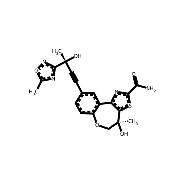 Cc1nc([C@](C)(O)C#Cc2ccc3c(c2)-c2nc(C(N)=O)sc2[C@@](C)(O)CO3)no1